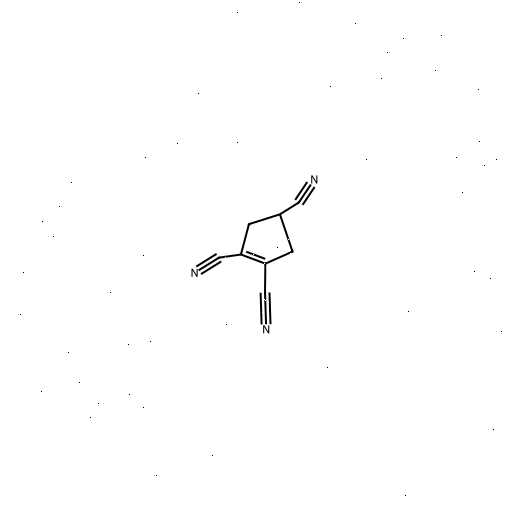 N#CC1=C(C#N)CC(C#N)C1